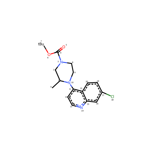 CC1CN(C(=O)OC(C)(C)C)CCN1c1ccnc2cc(Cl)ccc12